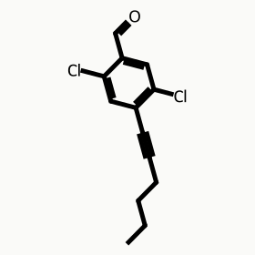 CCCCC#Cc1cc(Cl)c(C=O)cc1Cl